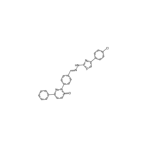 O=c1ccc(-c2ccccc2)nn1-c1ccc(C=NNc2nc(-c3ccc(Cl)cc3)cs2)cc1